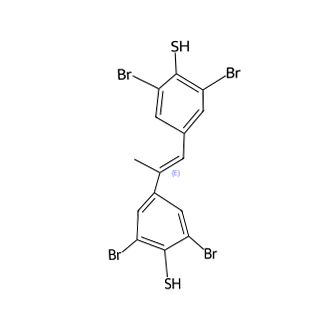 C/C(=C\c1cc(Br)c(S)c(Br)c1)c1cc(Br)c(S)c(Br)c1